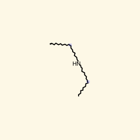 C=CCCCCCCC/C=C\CCCCCCCCNCCCCCCCC/C=C\CCCCCCCC